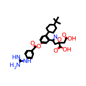 CC(C)(C)C1CCC(c2ccc(OC(=O)c3ccc(NC(=N)N)cc3)cc2C2=NOC(CC(=O)O)(C(=O)O)C2)CC1